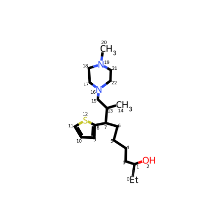 CCC(O)CCCCC(c1cccs1)C(C)CN1CCN(C)CC1